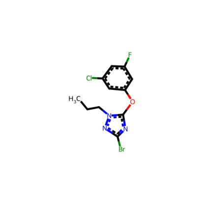 CCCn1nc(Br)nc1Oc1cc(F)cc(Cl)c1